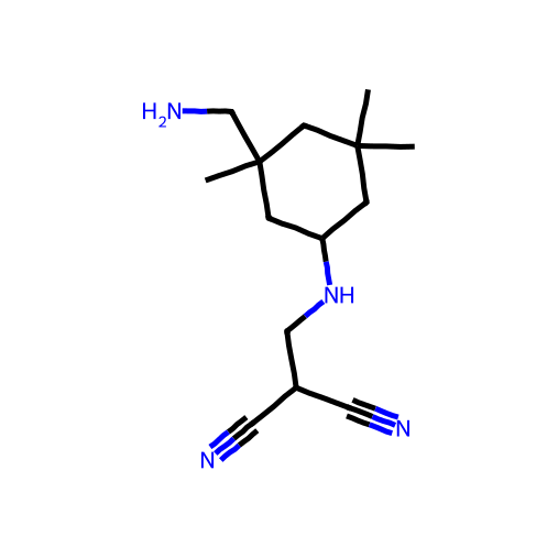 CC1(C)CC(NCC(C#N)C#N)CC(C)(CN)C1